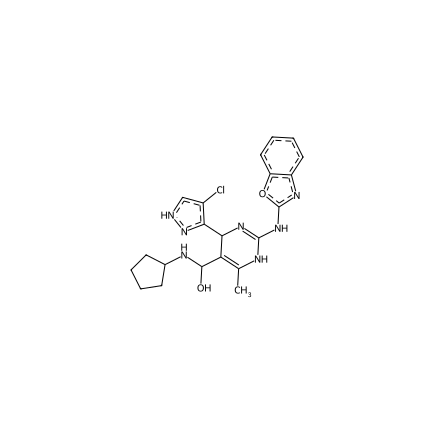 CC1=C(C(O)NC2CCCC2)C(c2n[nH]cc2Cl)N=C(Nc2nc3ccccc3o2)N1